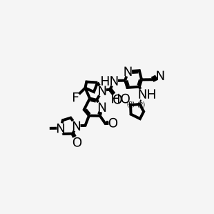 CN1CCN(Cc2cc3c(nc2C=O)N(C(=O)Nc2cc(N[C@@H]4CCC[C@H]4O)c(C#N)cn2)C2CC3(F)C2)C(=O)C1